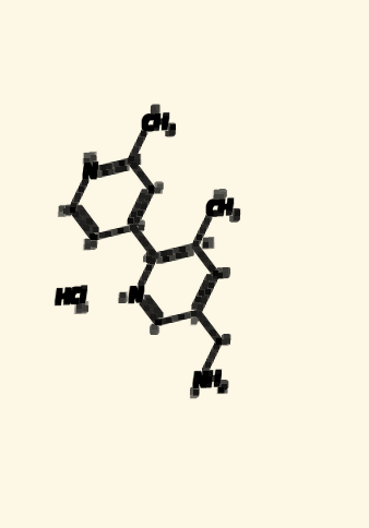 Cc1cc(-c2ncc(CN)cc2C)ccn1.Cl